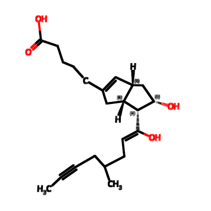 CC#CCC(C)CC=C(O)[C@@H]1[C@@H]2CC(CCCCC(=O)O)=C[C@@H]2C[C@@H]1O